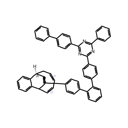 C1=C\C[C@@H]2c3ccccc3C(\C=C/1)c1cc(-c3ccc(-c4ccccc4-c4ccc(-c5nc(-c6ccccc6)nc(-c6ccc(-c7ccccc7)cc6)n5)cc4)cc3)ccc12